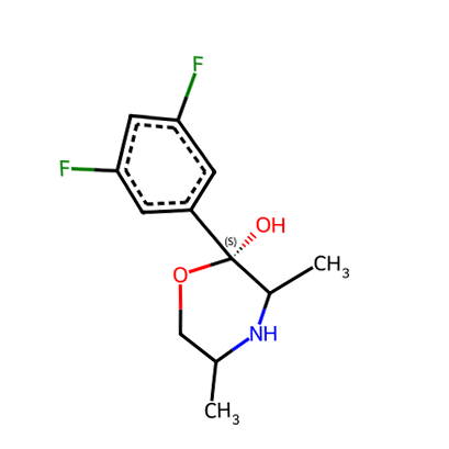 CC1CO[C@@](O)(c2cc(F)cc(F)c2)C(C)N1